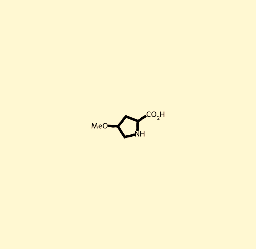 COC1CNC(C(=O)O)C1